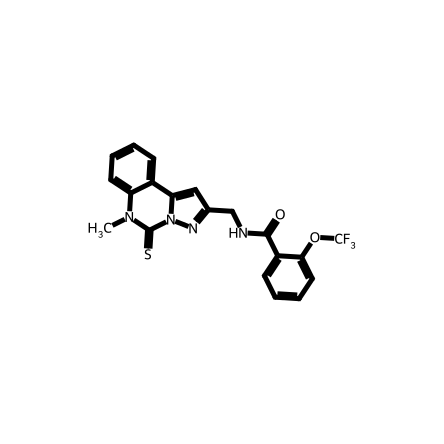 Cn1c(=S)n2nc(CNC(=O)c3ccccc3OC(F)(F)F)cc2c2ccccc21